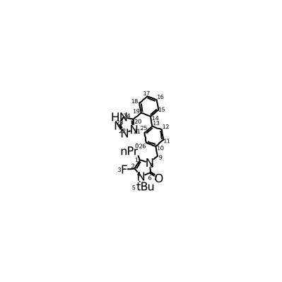 CCCc1c(F)n(C(C)(C)C)c(=O)n1Cc1ccc(-c2ccccc2-c2nnn[nH]2)cc1